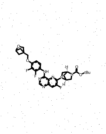 CC(C)(C)OC(=O)N1C[C@@H]2C[C@H]1CN2c1nc2c(Nc3ccc(OCC45COC(C4)C5)c(F)c3F)ncnc2cc1F